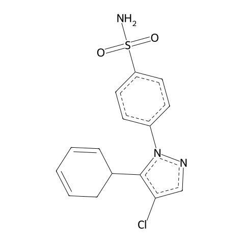 NS(=O)(=O)c1ccc(-n2ncc(Cl)c2C2C=CC=CC2)cc1